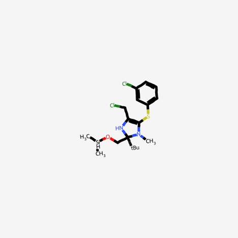 CN1C(Sc2cccc(Cl)c2)=C(CCl)NC1(CO[SiH](C)C)C(C)(C)C